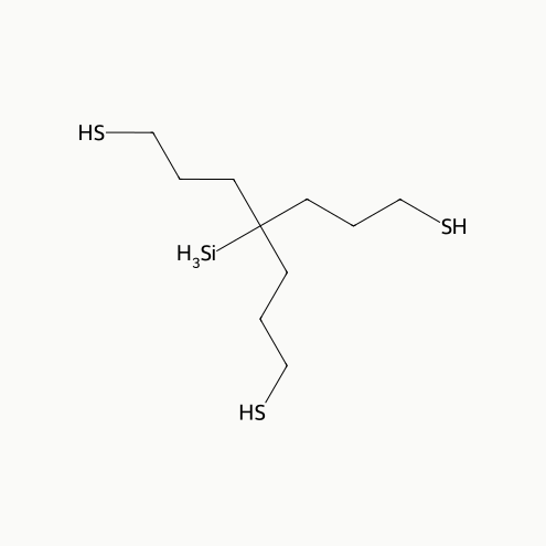 [SiH3]C(CCCS)(CCCS)CCCS